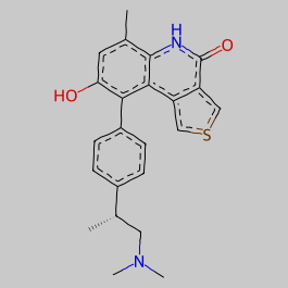 Cc1cc(O)c(-c2ccc([C@@H](C)CN(C)C)cc2)c2c1[nH]c(=O)c1cscc12